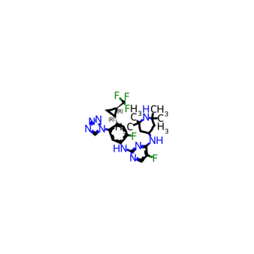 CC1(C)CC(Nc2nc(Nc3cc(-n4cnnn4)c([C@@H]4C[C@H]4C(F)(F)F)cc3F)ncc2F)CC(C)(C)N1